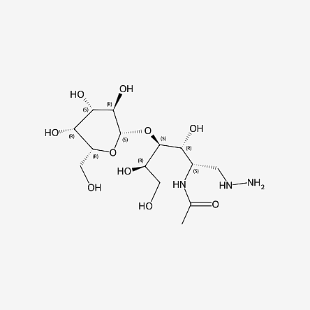 CC(=O)N[C@@H](CNN)[C@@H](O)[C@H](O[C@@H]1O[C@H](CO)[C@H](O)[C@H](O)[C@H]1O)[C@H](O)CO